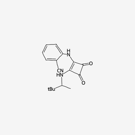 CC(Nc1c(Nc2ccccc2C#N)c(=O)c1=O)C(C)(C)C